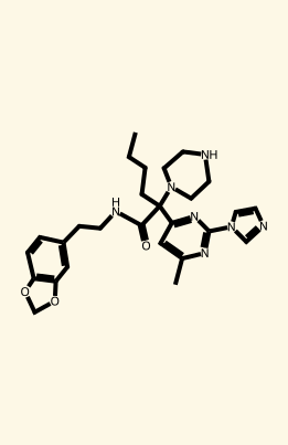 CCCCC(C(=O)NCCc1ccc2c(c1)OCO2)(c1cc(C)nc(-n2ccnc2)n1)N1CCNCC1